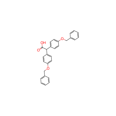 O=C(O)C(c1ccc(OCc2ccccc2)cc1)c1ccc(OCc2ccccc2)cc1